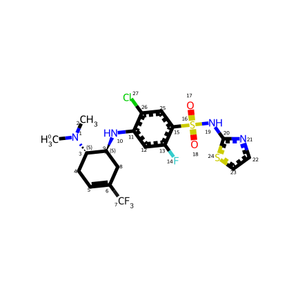 CN(C)[C@H]1CC=C(C(F)(F)F)C[C@@H]1Nc1cc(F)c(S(=O)(=O)Nc2nccs2)cc1Cl